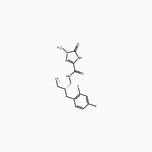 Cn1nc(C(=O)NC[C@H](Cc2ccc(F)cc2F)CC(F)(F)F)[nH]c1=O